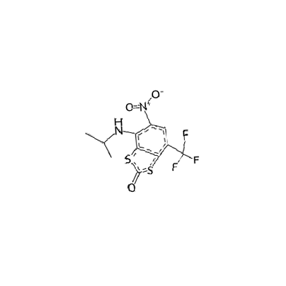 CC(C)Nc1c([N+](=O)[O-])cc(C(F)(F)F)c2sc(=O)sc12